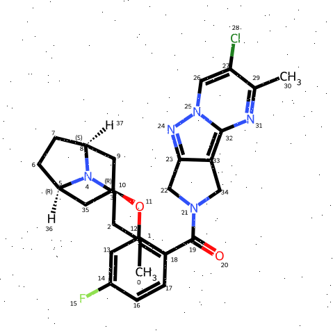 CCCCN1[C@@H]2CC[C@H]1C[C@@H](Oc1cc(F)ccc1C(=O)N1Cc3nn4cc(Cl)c(C)nc4c3C1)C2